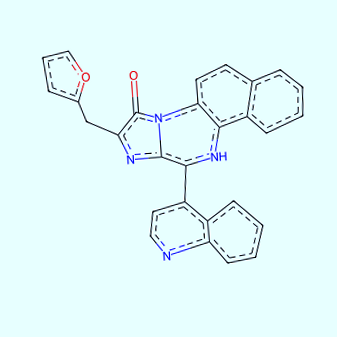 O=c1c(Cc2ccco2)nc2c(-c3ccnc4ccccc34)[nH]c3c4ccccc4ccc3n1-2